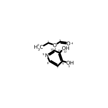 CCOC=O.Oc1ccncc1O